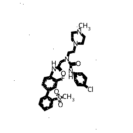 CN1CCN(CCN(CC(=O)Nc2ccc(-c3ccccc3S(C)(=O)=O)cc2F)C(=O)Nc2ccc(Cl)cc2)CC1